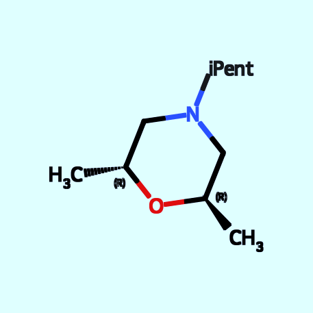 CCCC(C)N1C[C@@H](C)O[C@H](C)C1